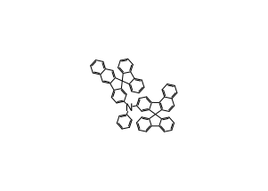 c1ccc(N(c2ccc3c(c2)C2(c4ccccc4-c4ccccc42)c2cc4ccccc4cc2-3)c2ccc3c(c2)C2(c4ccccc4-c4ccccc42)c2ccc4ccccc4c2-3)cc1